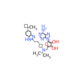 CC(C)N(C[C@H]1O[C@@H](n2cnc3c(N)ncnc32)[C@H](O)[C@@H]1O)[C@H]1C[C@H](CCc2nc3cc(C4(C)CCC4)ccc3[nH]2)C1